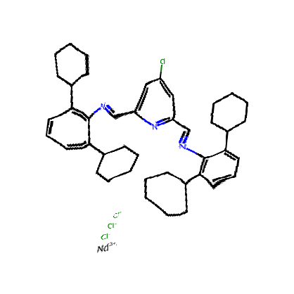 Clc1cc(C=Nc2c(C3CCCCC3)cccc2C2CCCCC2)nc(C=Nc2c(C3CCCCC3)cccc2C2CCCCC2)c1.[Cl-].[Cl-].[Cl-].[Nd+3]